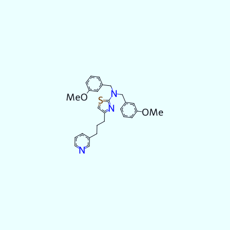 COc1cccc(CN(Cc2cccc(OC)c2)c2nc(CCCc3cccnc3)cs2)c1